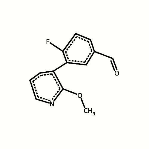 COc1ncccc1-c1cc(C=O)ccc1F